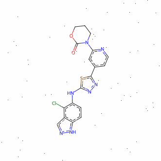 O=C1OCCCN1c1cc(-c2nnc(Nc3ccc4[nH]ncc4c3Cl)s2)ccn1